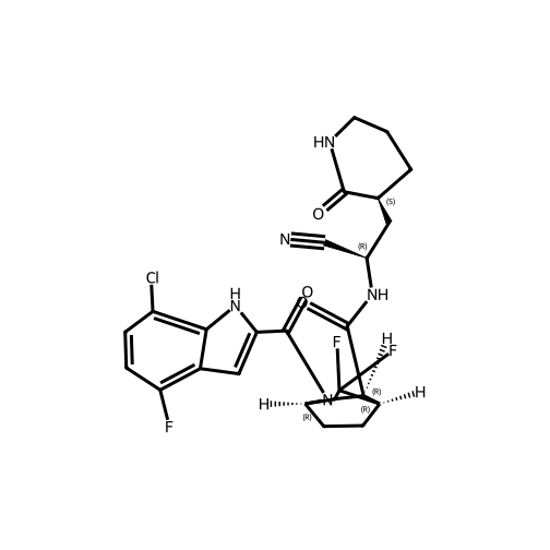 N#C[C@@H](C[C@@H]1CCCNC1=O)NC(=O)[C@H]1[C@H]2CC[C@H](CC2(F)F)N1C(=O)c1cc2c(F)ccc(Cl)c2[nH]1